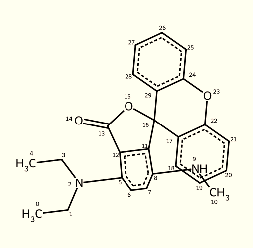 CCN(CC)c1ccc(NC)c2c1C(=O)OC21c2ccccc2Oc2ccccc21